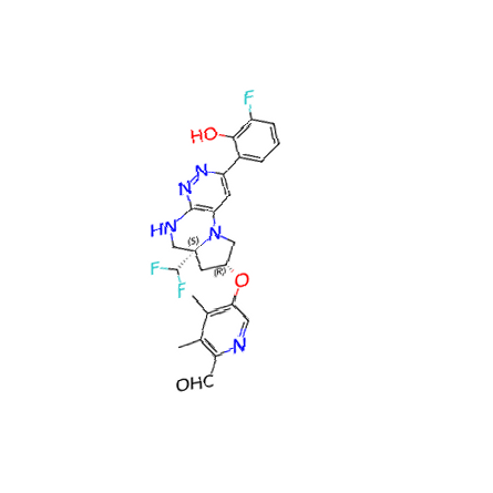 Cc1c(O[C@H]2CN3c4cc(-c5cccc(F)c5O)nnc4NC[C@]3(C(F)F)C2)cnc(C=O)c1C